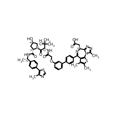 Cc1ncsc1-c1ccc([C@H](C)NC(=O)[C@@H]2C[C@@H](O)CN2C(=O)[C@@H](NC(=O)COc2cccc(-c3ccc(C4=N[C@@H](CC(=O)O)c5nnc(C)n5-c5sc(C)c(C)c54)cc3)c2)C(C)(C)C)cc1